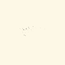 CN(C)[C@@H]1C(O)=C(C(N)=O)C(=O)[C@@]2(O)C(O)=C3C(=O)c4c(cc5ccc(CN6CC(O)C6)cc5c4O)C[C@H]3C[C@@H]12